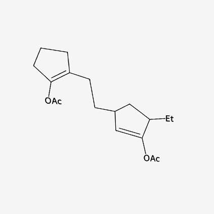 CCC1CC(CCC2=C(OC(C)=O)CCC2)C=C1OC(C)=O